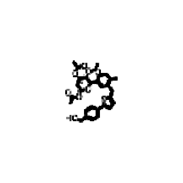 CC(=O)O[C@@H]1C[C@H](OC(C)=O)[C@@H](OC(C)=O)C(C2=CC(Cc3ccc(-c4ccc(CO)cc4)s3)=C(C)CC2)O1